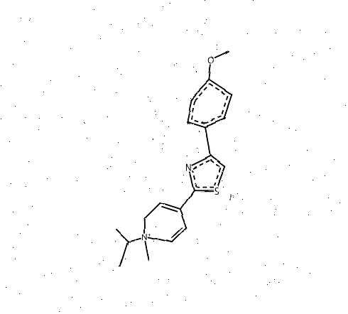 COc1ccc(-c2csc(C3=CC[N+](C)(C(C)C)C=C3)n2)cc1.[I-]